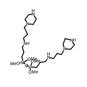 CO[Si](CCCNCCCN1CCNCC1)(OC)O[Si](CCCNCCCN1CCNCC1)(OC)OC